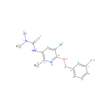 CCN(C)C(=S)Nc1cc(Br)c(OCc2cccc(F)c2)nc1C